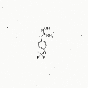 N/C(Cc1ccc(OC(F)(F)F)cc1)=N\O